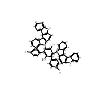 CCc1c(-c2ccc(F)cc2)c(-n2c3ccccc3c3c4c(ccc32)sc2ccccc24)c(CC)c(-n2c3ccccc3c3c4c(ccc32)sc2ccccc24)c1-c1ccc(F)cc1